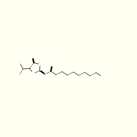 CCCCCCCCCC(=O)/C=C1\NC(=O)C(C(C)C)O1